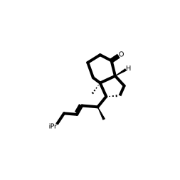 CC(C)C/C=C/[C@H](C)[C@H]1CC[C@H]2C(=O)CCC[C@]12C